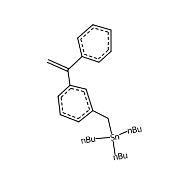 C=C(c1ccccc1)c1cccc([CH2][Sn]([CH2]CCC)([CH2]CCC)[CH2]CCC)c1